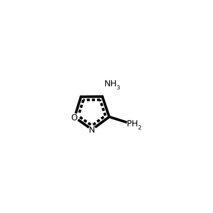 N.Pc1ccon1